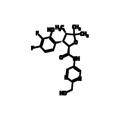 C[C@H]1[C@@H](c2ccc(F)c(F)c2O)[C@H](C(=O)Nc2cnc(CO)nc2)OC1(C)C